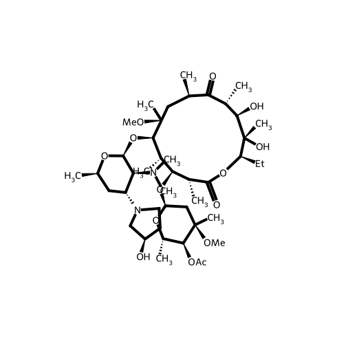 CC[C@H]1OC(=O)[C@H](C)[C@@H](O[C@H]2C[C@@](C)(OC)[C@@H](OC(C)=O)[C@H](C)O2)[C@H](C)[C@@H](O[C@@H]2O[C@H](C)C[C@@H](N3CC[C@@H](O)C3)[C@@H]2N(C)C)[C@@](C)(OC)C[C@@H](C)C(=O)[C@H](C)[C@@H](O)[C@]1(C)O